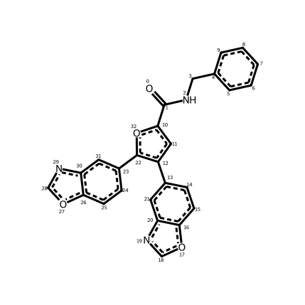 O=C(NCc1ccccc1)c1cc(-c2ccc3ocnc3c2)c(-c2ccc3ocnc3c2)o1